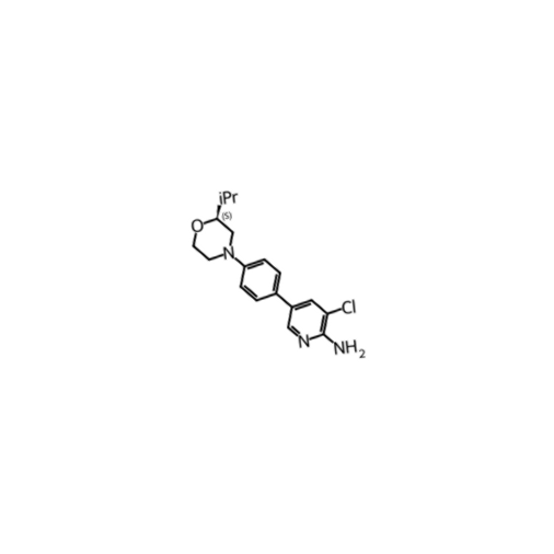 CC(C)[C@H]1CN(c2ccc(-c3cnc(N)c(Cl)c3)cc2)CCO1